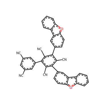 N#Cc1cc(C#N)cc(-c2c(C#N)c(-c3ccc4oc5ccccc5c4c3)c(C#N)c(-c3ccc4oc5ccccc5c4c3)c2C#N)c1